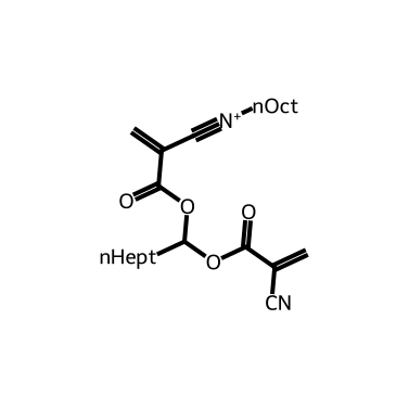 C=C(C#N)C(=O)OC(CCCCCCC)OC(=O)C(=C)C#[N+]CCCCCCCC